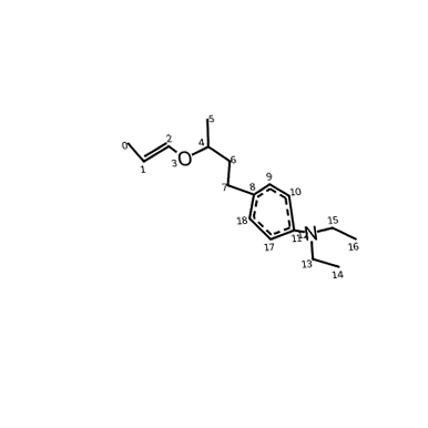 CC=COC(C)CCc1ccc(N(CC)CC)cc1